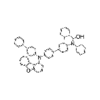 OC1C2C=CC=CC2c2cc(-c3ccc(N(c4ccc(-c5ccccc5)cc4)c4cccc5oc6ccccc6c45)cc3)ccc2N1C1C=CC=CC1